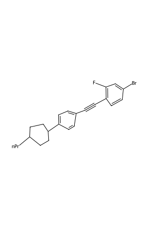 CCCC1CCC(c2ccc(C#Cc3ccc(Br)cc3F)cc2)CC1